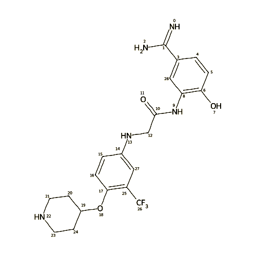 N=C(N)c1ccc(O)c(NC(=O)CNc2ccc(OC3CCNCC3)c(C(F)(F)F)c2)c1